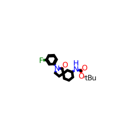 CC(C)(C)OC(=O)NC1CCCC2(CCN(c3cccc(F)c3)C2=O)C1